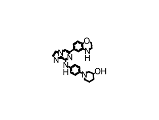 O[C@H]1CCCN(c2ccc(Nc3nc(-c4ccc5c(c4)NCCO5)cn4ccnc34)cc2)C1